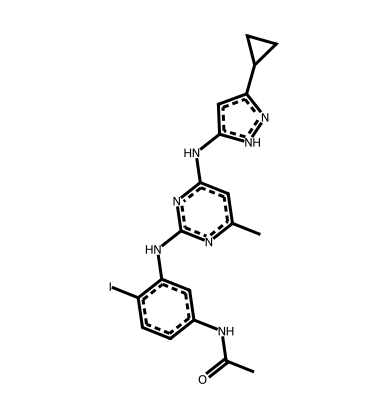 CC(=O)Nc1ccc(I)c(Nc2nc(C)cc(Nc3cc(C4CC4)n[nH]3)n2)c1